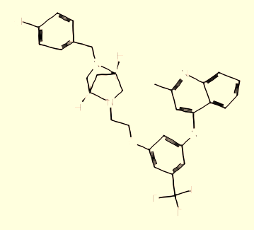 Cc1cc(Nc2cc(OCCN3C[C@@H]4C[C@H]3CN4Cc3ccc(Cl)cc3)cc(C(F)(F)F)c2)c2ccccc2n1